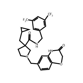 O=C1COc2ccc(CN3CCC(CC4CC4)(C(=O)NCc4cc(C(F)(F)F)cc(C(F)(F)F)c4)C3)cc2N1